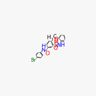 COc1ccccc1NS(=O)(=O)c1cccc(C(=O)Nc2ccc(Br)cc2)c1